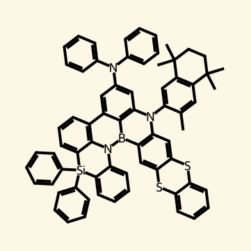 Cc1cc2c(cc1N1c3cc4c(cc3B3c5c(cc(N(c6ccccc6)c6ccccc6)cc51)-c1cccc5c1N3c1ccccc1[Si]5(c1ccccc1)c1ccccc1)Sc1ccccc1S4)C(C)(C)CCC2(C)C